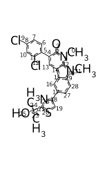 Cn1c(=O)c(-c2ccc(Cl)cc2Cl)cc2c3cc(-c4csc(C(C)(C)O)n4)ccc3n(C)c21